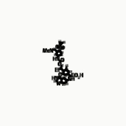 CC[C@@H](COC(=O)Nc1ccc(S(=O)(=O)C2CC2)c(CNC)c1)c1ccc(C(Nc2ccc3nc[nH]c(=O)c3c2)C(=O)O)cc1C